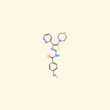 O=C(Nc1nc(-c2ccccn2)c(N2CCOCC2)s1)c1ccc(C(F)(F)F)cc1